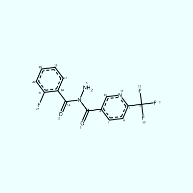 NN(C(=O)c1ccc(C(F)(F)F)nc1)C(=O)c1ccccc1F